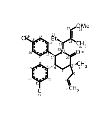 C=CC[C@@]1(C)C[C@H](c2cccc(Cl)c2)[C@@H](c2ccc(Cl)cc2)N([C@@H](CC)C(C)=COC)C1=O